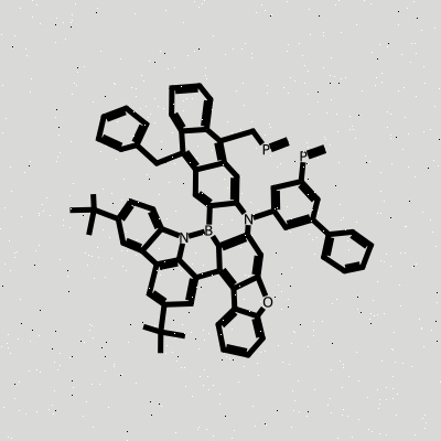 C=PCc1c2ccccc2c(Cc2ccccc2)c2cc3c(cc12)N(c1cc(P=C)cc(-c2ccccc2)c1)c1cc2oc4ccccc4c2c2c1B3n1c3ccc(C(C)(C)C)cc3c3cc(C(C)(C)C)cc-2c31